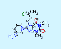 CC(Cl)CCn1c(N2CCCC(N)C2)nc2c1c(=O)n(C)c(=O)n2C